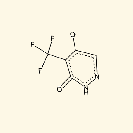 [O]c1cn[nH]c(=O)c1C(F)(F)F